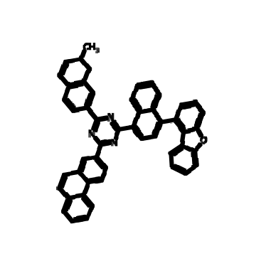 CC1C=Cc2ccc(-c3nc(-c4ccc5c(ccc6ccccc65)c4)nc(-c4ccc(-c5cccc6oc7ccccc7c56)c5ccccc45)n3)cc2C1